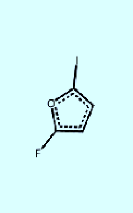 Fc1ccc(I)o1